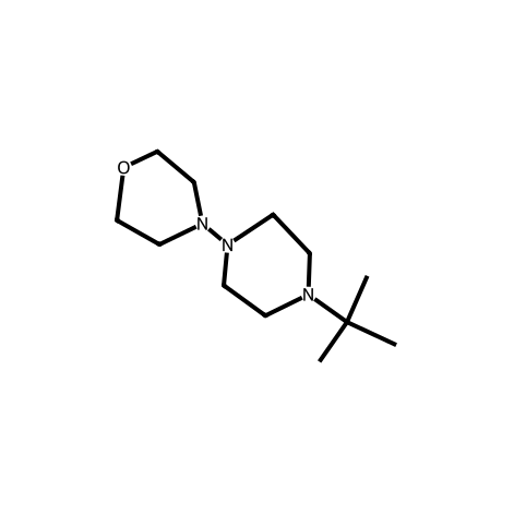 CC(C)(C)N1CCN(N2CCOCC2)CC1